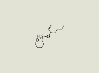 C=CC(CCCC)O[SiH2]C1CCCCO1